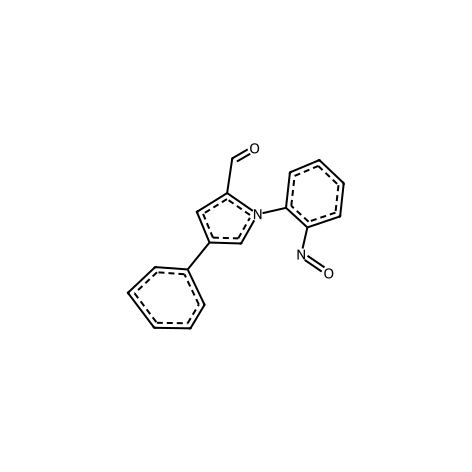 O=Cc1cc(-c2ccccc2)cn1-c1ccccc1N=O